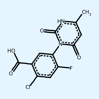 Cc1cc(=O)n(-c2cc(C(=O)O)c(Cl)cc2F)c(=O)[nH]1